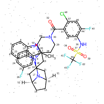 Cc1nc2ccccc2n1[C@H]1C[C@H]2CC[C@@H](C1)N2CCC1(c2cccc(F)c2)CCN(C(=O)c2cc(NS(=O)(=O)C(F)(F)F)c(F)cc2Cl)CC1